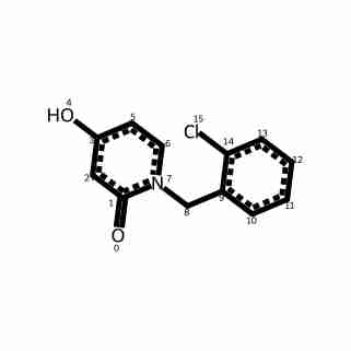 O=c1[c]c(O)ccn1Cc1ccccc1Cl